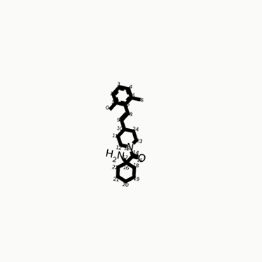 Cc1cccc(C)c1/C=C/C1CCN(C(=O)C2(N)CCCCC2)CC1